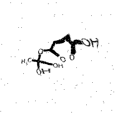 CC(O)(O)OC(=O)/C=C\C(=O)O